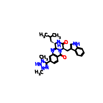 CC(C)C[C@@H]1NC(=O)[C@@H](Cc2c[nH]c3ccccc23)n2c1nc1cc(C3=NN(C)NN3C)ccc1c2=O